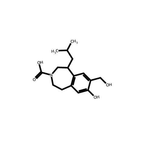 CC(C)CC1CN(C(=O)O)CCc2cc(O)c(CO)cc21